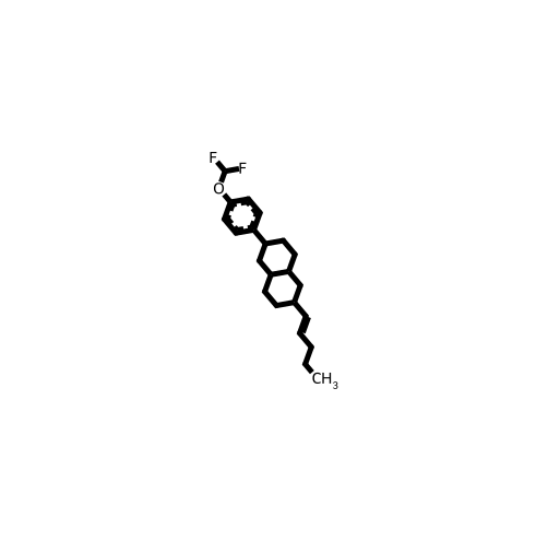 CCC/C=C/C1CCC2CC(c3ccc(OC(F)F)cc3)CCC2C1